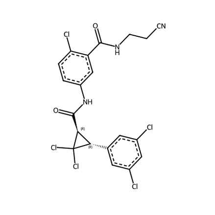 N#CCCNC(=O)c1cc(NC(=O)[C@H]2[C@H](c3cc(Cl)cc(Cl)c3)C2(Cl)Cl)ccc1Cl